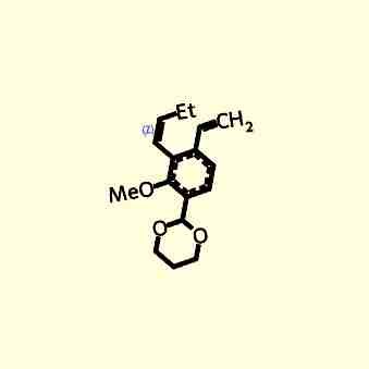 C=Cc1ccc(C2OCCCO2)c(OC)c1/C=C\CC